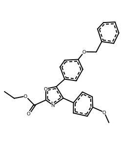 CCOC(=O)c1nc(-c2ccc(OC)cc2)c(-c2ccc(OCc3ccccc3)cc2)o1